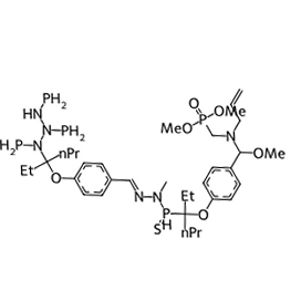 C=CCN(CP(=O)(OC)OC)C(OC)c1ccc(OC(CC)(CCC)[PH](=S)N(C)/N=C/c2ccc(OC(CC)(CCC)N(P)N(P)NP)cc2)cc1